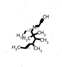 C#C/C=N/[C@@H](CC)C(C)(C)C(C)C(C)/C=C/C